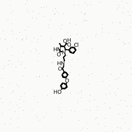 CC1=C(C(=O)O)C(c2cccc(Cl)c2)N(CCCNCC(=O)c2ccc(Oc3ccc(O)cc3)cc2)C(=O)N1